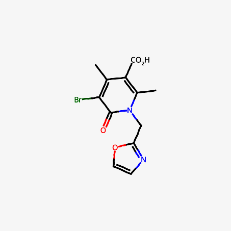 Cc1c(C(=O)O)c(C)n(Cc2ncco2)c(=O)c1Br